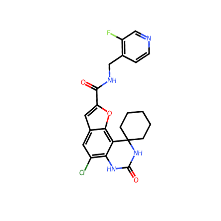 O=C1Nc2c(Cl)cc3cc(C(=O)NCc4ccncc4F)oc3c2C2(CCCCC2)N1